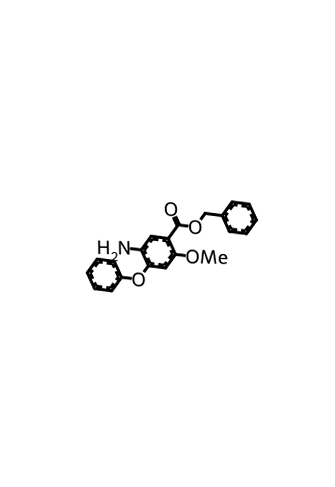 COc1cc(Oc2ccccc2)c(N)cc1C(=O)OCc1ccccc1